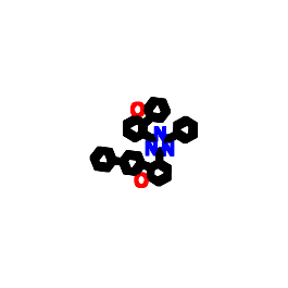 C1=CC2Oc3cc(-c4ccccc4)ccc3C2C(c2nc(-c3ccccc3)nc(-c3cccc4oc5ccccc5c34)n2)=C1